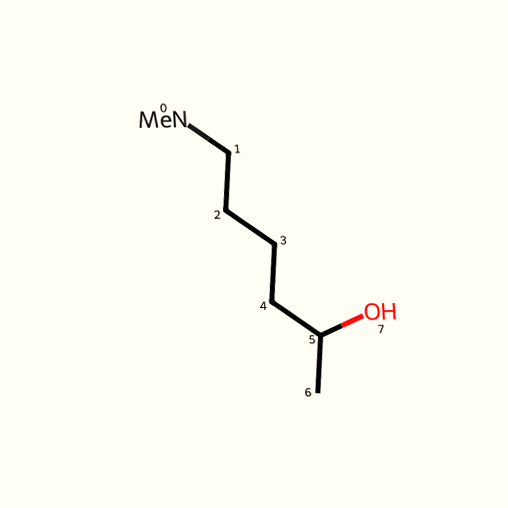 CNCCCCC(C)O